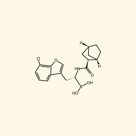 O=C(N[C@@H](Cc1coc2c(Cl)cccc12)B(O)O)[C@H]1C[C@@H]2CC[C@H]1C2